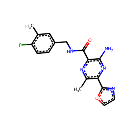 Cc1cc(CNC(=O)c2nc(C)c(-c3ncco3)nc2N)ccc1F